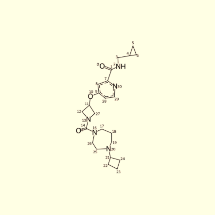 O=C(NCC1CC1)c1cc(OC2CN(C(=O)N3CCCN(C4CCC4)CC3)C2)ccn1